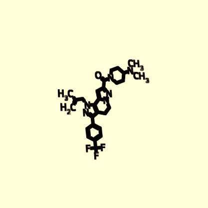 C=C(C)Cn1nc(-c2ccc(C(F)(F)F)cc2)c2c1-c1cc(C(=O)N3CCC(N(C)C)CC3)nn1CC2